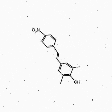 Cc1cc(C=Cc2ccc([N+](=O)[O-])cc2)cc(C)c1O